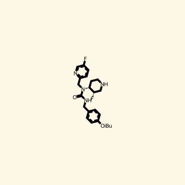 CC(C)COc1ccc(CNC(=O)N(Cc2ccc(F)cn2)[C@@H]2CCNC[C@@H]2F)cc1